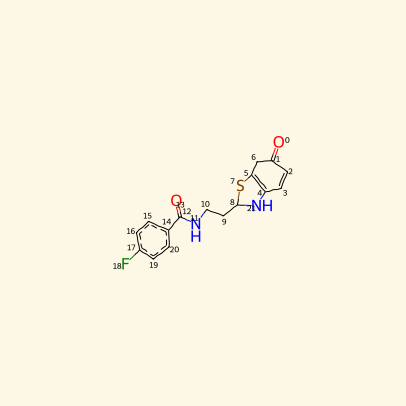 O=C1C=CC2=C(C1)SC(CCNC(=O)c1ccc(F)cc1)N2